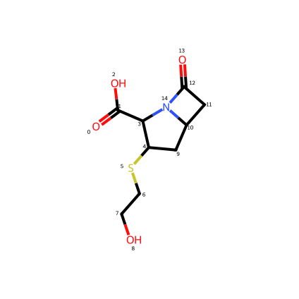 O=C(O)C1C(SCCO)CC2CC(=O)N21